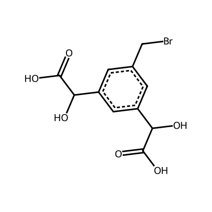 O=C(O)C(O)c1cc(CBr)cc(C(O)C(=O)O)c1